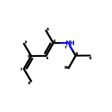 C/C=C(C)\C=C(/C)NC(C)C